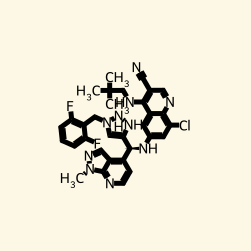 Cn1ncc2c([C@H](Nc3cc(Cl)c4ncc(C#N)c(NCC(C)(C)C)c4c3)C3=CN(Cc4c(F)cccc4F)NN3)ccnc21